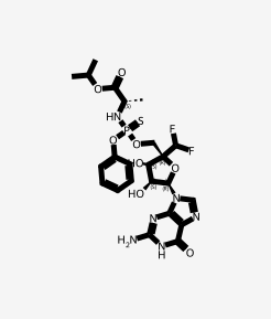 CC(C)OC(=O)[C@H](C)NP(=S)(OC[C@@]1(C(F)F)O[C@@H](n2cnc3c(=O)[nH]c(N)nc32)[C@@H](O)[C@@H]1O)Oc1ccccc1